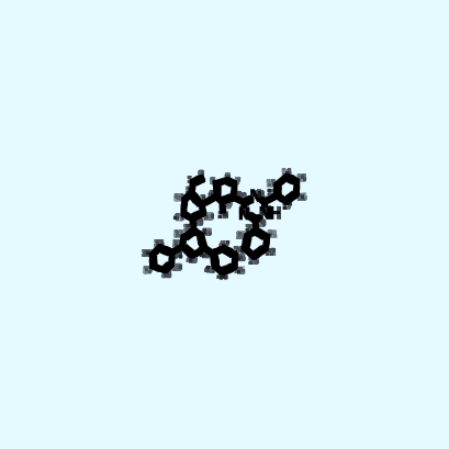 C=CC1=C(c2cccc(C3=NC(c4ccccc4)NC(c4ccccc4)=N3)c2C)C=C(c2cc(-c3ccccc3)cc(-c3ccccc3)c2)CC1